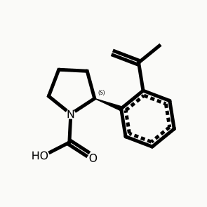 C=C(C)c1ccccc1[C@@H]1CCCN1C(=O)O